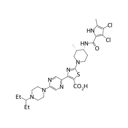 CCC(CC)N1CCN(c2cnc(-c3nc(N4CC[C@@H](NC(=O)c5[nH]c(C)c(Cl)c5Cl)[C@@H](C)C4)sc3C(=O)O)cn2)CC1